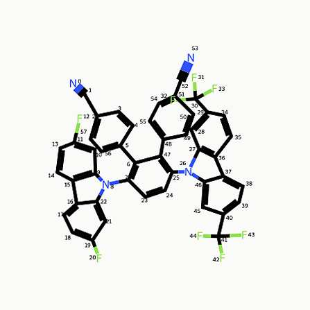 N#Cc1ccc(-c2c(-n3c4cc(F)ccc4c4ccc(F)cc43)ccc(-n3c4cc(C(F)(F)F)ccc4c4ccc(C(F)(F)F)cc43)c2-c2ccc(C#N)cc2)cc1